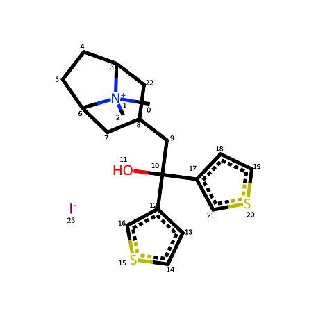 C[N+]1(C)C2CCC1CC(CC(O)(c1ccsc1)c1ccsc1)C2.[I-]